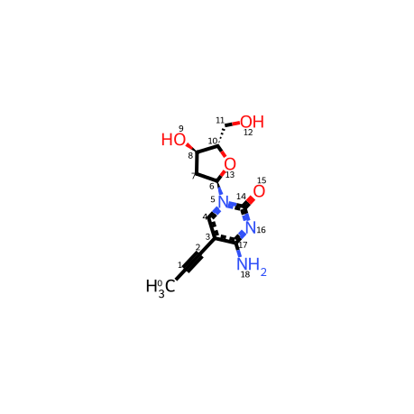 CC#Cc1cn([C@H]2C[C@@H](O)[C@H](CO)O2)c(=O)nc1N